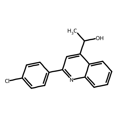 CC(O)c1cc(-c2ccc(Cl)cc2)nc2ccccc12